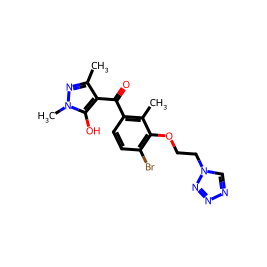 Cc1nn(C)c(O)c1C(=O)c1ccc(Br)c(OCCn2cnnn2)c1C